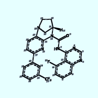 O=C(Nc1ncnc2cccc(F)c12)N1c2nc(-c3cccc(C(F)(F)F)c3)ccc2N2CC[C@H]1C2